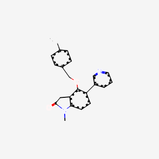 CN1C(=O)Cc2c1ccc(-c1cccnc1)c2OCc1ccc(C#N)cc1